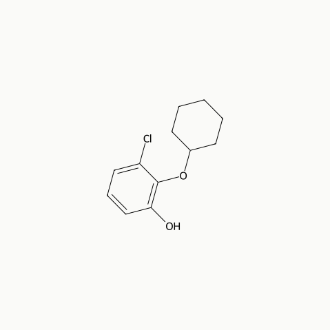 Oc1cccc(Cl)c1OC1CCCCC1